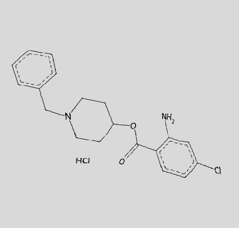 Cl.Nc1cc(Cl)ccc1C(=O)OC1CCN(Cc2ccccc2)CC1